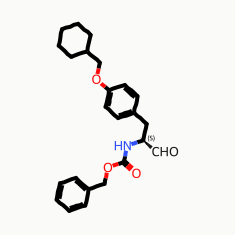 O=C[C@H](Cc1ccc(OCC2CCCCC2)cc1)NC(=O)OCc1ccccc1